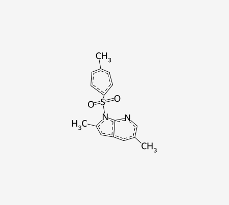 Cc1ccc(S(=O)(=O)n2c(C)cc3cc(C)cnc32)cc1